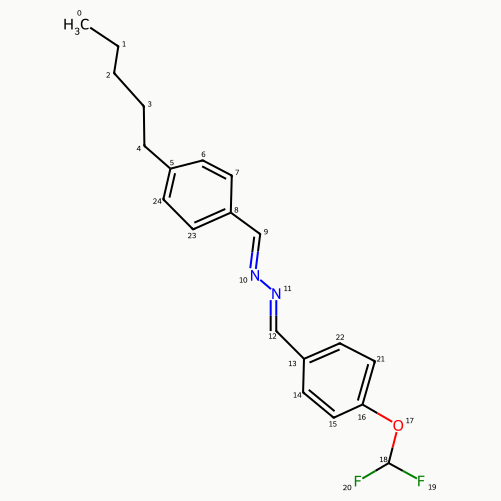 CCCCCc1ccc(C=NN=Cc2ccc(OC(F)F)cc2)cc1